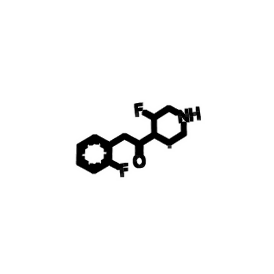 O=C(Cc1ccccc1F)C1[CH]CNCC1F